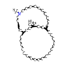 C[C@H]1CCC2C/C=C\CCN(C)CCCCCCCCCC[C@@H](CCCCCCCCCCCCCCCCCC2)CC1